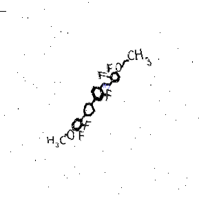 CCCCOc1ccc(/C=C/c2ccc(C3CCC(c4ccc(OCC)c(F)c4F)CC3)cc2F)c(F)c1F